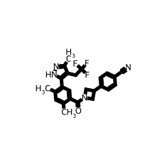 Cc1cc(C)c(-c2[nH]nc(C)c2CC(F)(F)F)cc1C(=O)N1CC(c2ccc(C#N)cc2)C1